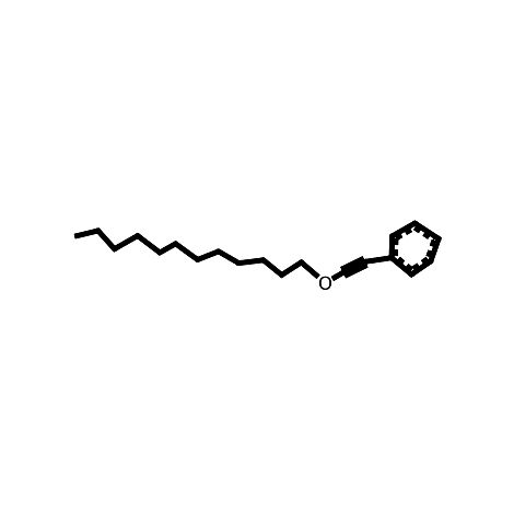 CCCCCCCCCCCCOC#Cc1ccccc1